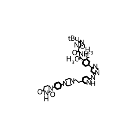 Cc1cc(-c2cc(Nc3ccc(CCN4CCN(c5ccc(N6CCC(=O)NC6=O)cc5)CC4)cn3)ncn2)ccc1[C@@H](C)NC(=O)c1nc(C(C)(C)C)no1